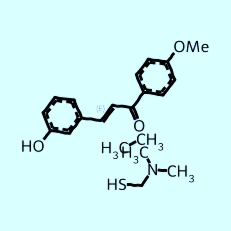 CC.CN(C)CS.COc1ccc(C(=O)/C=C/c2cccc(O)c2)cc1